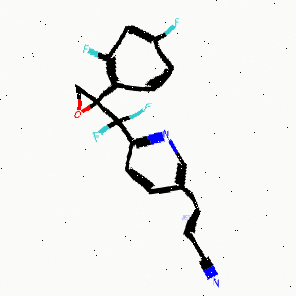 N#C/C=C/c1ccc(C(F)(F)C2(c3ccc(F)cc3F)CO2)nc1